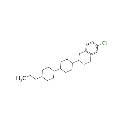 CCCC1CCC(C2CCC(C3CCc4cc(Cl)ccc4C3)CC2)CC1